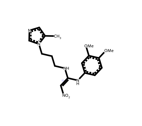 COc1ccc(N/C(=C\[N+](=O)[O-])NCCCn2cncc2C)cc1OC